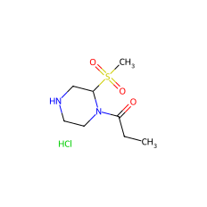 CCC(=O)N1CCNCC1S(C)(=O)=O.Cl